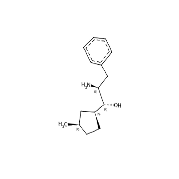 C[C@@H]1CC[C@H]([C@@H](O)[C@@H](N)Cc2ccccc2)C1